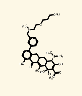 COCCCOCCN(C)Cc1cccc(-c2ccc(O)c3c2CC2CC4C(C(O)=C2C3=O)[C@@](C)(O)C(C(N)=O)=C(O)[C@H]4N(C)C)c1